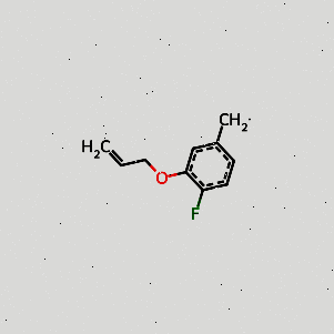 [CH2]c1ccc(F)c(OCC=C)c1